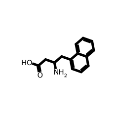 NC(CC(=O)O)Cc1cccc2ccccc12